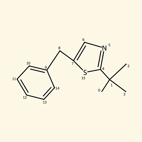 CC(C)(C)c1ncc(Cc2ccccc2)s1